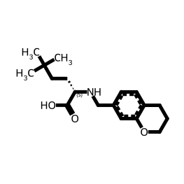 CC(C)(C)CC[C@H](NCc1ccc2c(c1)OCCC2)C(=O)O